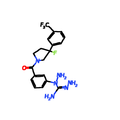 N/N=C(/N)N(N)c1cccc(C(=O)N2CCC(F)(c3cccc(C(F)(F)F)c3)C2)c1